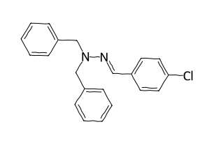 Clc1ccc(C=NN(Cc2ccccc2)Cc2ccccc2)cc1